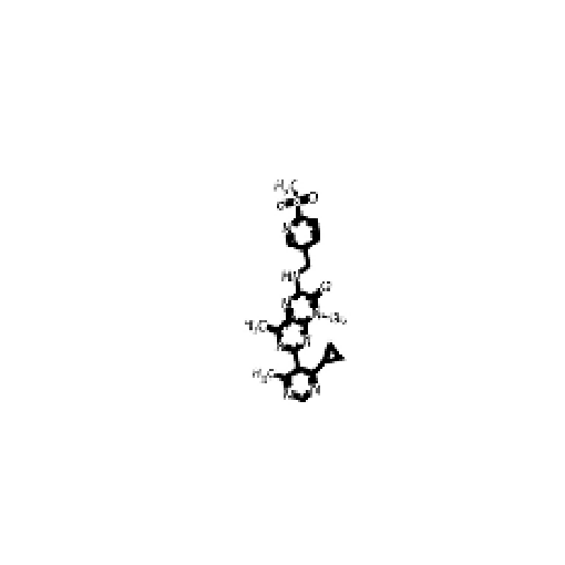 CC[C@@H](C)n1c(=O)c(NCc2ccc(S(C)(=O)=O)nc2)nc2c(C)nc(-c3c(C)ncnc3C3CC3)nc21